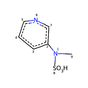 CN(c1cccnc1)S(=O)(=O)O